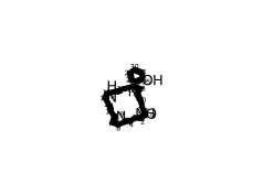 O=C1C=C2C=C3C=CC(=N3)C=c3ccc([nH]3)=CC3=NC(=CC1N2)C=C3.Oc1ccccc1